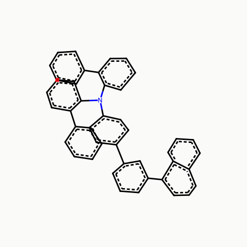 c1ccc(-c2ccccc2N(c2ccc(-c3cccc(-c4cccc5ccccc45)c3)cc2)c2ccccc2-c2ccccc2)cc1